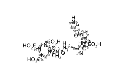 CC(C(=O)NCC(=O)NCCC#Cc1cncc([C@H](CC(=O)O)NC(=O)[C@@H]2CCCN(C(=O)CCC3CCNCC3)C2)c1)N1CCN(CC(=O)O)CCN(CC(=O)O)CCN(CC(=O)O)CC1